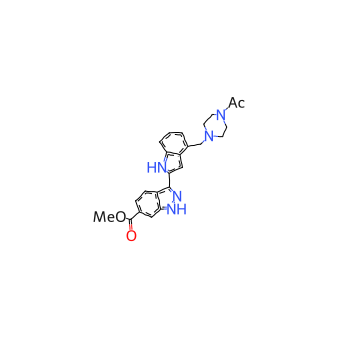 COC(=O)c1ccc2c(-c3cc4c(CN5CCN(C(C)=O)CC5)cccc4[nH]3)n[nH]c2c1